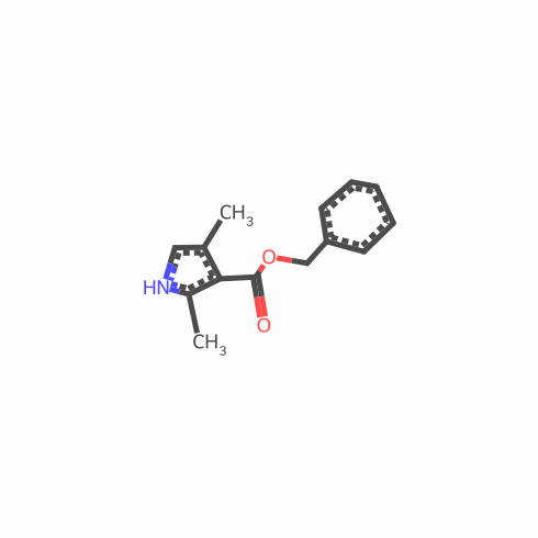 Cc1c[nH]c(C)c1C(=O)OCc1ccccc1